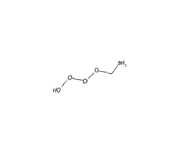 BCOOOO